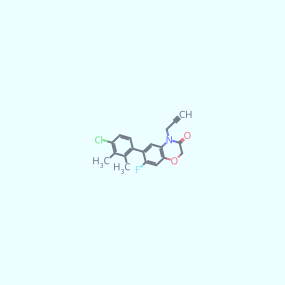 C#CCN1C(=O)COc2cc(F)c(-c3ccc(Cl)c(C)c3C)cc21